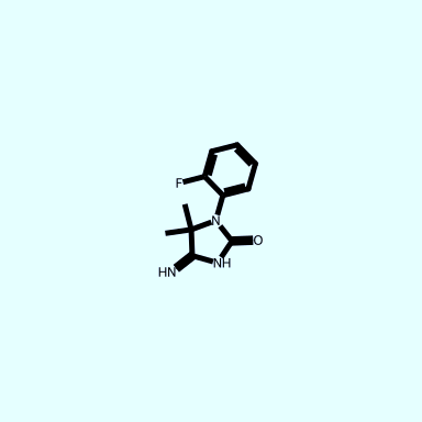 CC1(C)C(=N)NC(=O)N1c1ccccc1F